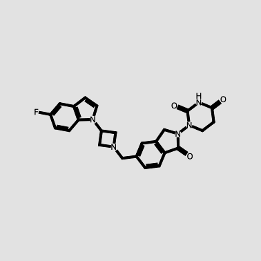 O=C1CCN(N2Cc3cc(CN4CC(n5ccc6cc(F)ccc65)C4)ccc3C2=O)C(=O)N1